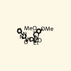 CCN1C(=O)N2Cc3cc(OC)cc(OC)c3[C@@H](C)C=C2C12CCN(C(=O)c1cnc(-c3ccccc3)nc1)CC2